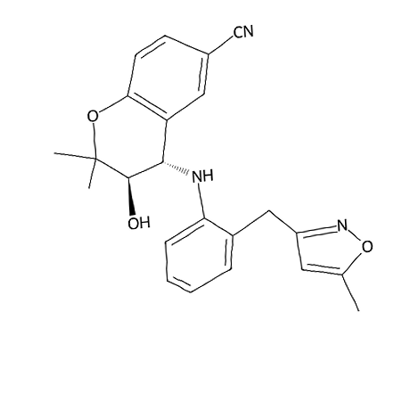 Cc1cc(Cc2ccccc2N[C@H]2c3cc(C#N)ccc3OC(C)(C)[C@@H]2O)no1